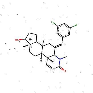 CN1C(=O)C=C[C@@]2(C)C1C(=Cc1cc(F)cc(F)c1)C[C@@H]1[C@H]2CC[C@]2(C)C(O)CC[C@@H]12